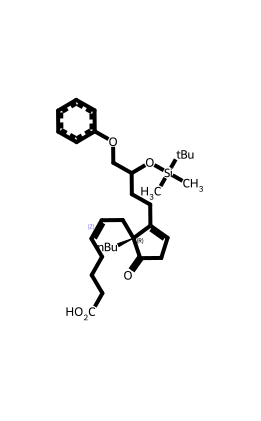 CCCC[C@]1(C/C=C\CCCC(=O)O)C(=O)CC=C1CCC(COc1ccccc1)O[Si](C)(C)C(C)(C)C